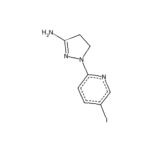 NC1=NN(c2ccc(I)cn2)CC1